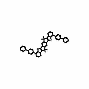 CC1(C)c2cc3c(cc2-c2oc4c(-c5ccc(-c6ccccc6)cc5)cccc4c21)C(C)(C)c1c-3oc2c(-c3ccc(-c4ccccc4)cc3)cccc12